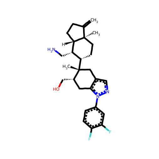 C=C1CC[C@H]2[C@@H](CN)[C@@H]([C@]3(C)Cc4cnn(-c5ccc(F)c(F)c5)c4C[C@@H]3CO)CC[C@]12C